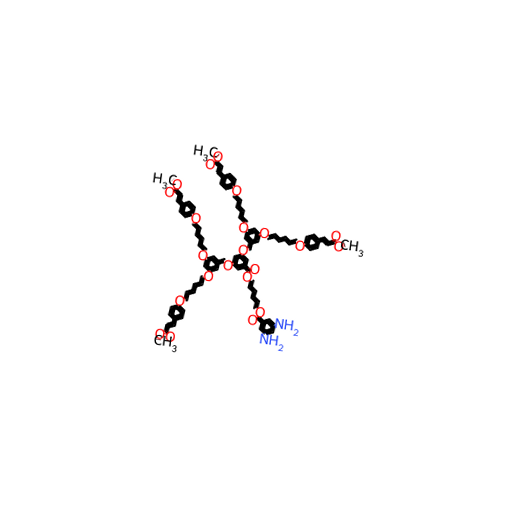 COC(=O)C=Cc1ccc(OCCCCCCOc2cc(COc3cc(OCc4cc(OCCCCCCOc5ccc(C=CC(=O)OC)cc5)cc(OCCCCCCOc5ccc(C=CC(=O)OC)cc5)c4)cc(C(=O)OCCCCCCOC(=O)c4cc(N)cc(N)c4)c3)cc(OCCCCCCOc3ccc(C=CC(=O)OC)cc3)c2)cc1